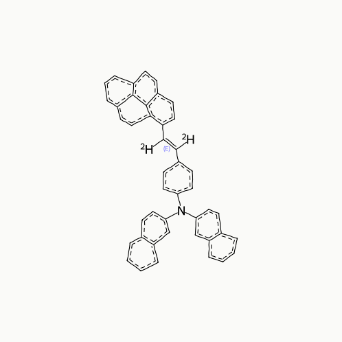 [2H]/C(=C(/[2H])c1ccc2ccc3cccc4ccc1c2c34)c1ccc(N(c2ccc3ccccc3c2)c2ccc3ccccc3c2)cc1